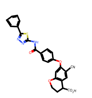 N#Cc1cc2c(cc1Oc1ccc(C(=O)Nc3nnc(-c4ccccc4)s3)cc1)OCCC2C(=O)O